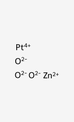 [O-2].[O-2].[O-2].[Pt+4].[Zn+2]